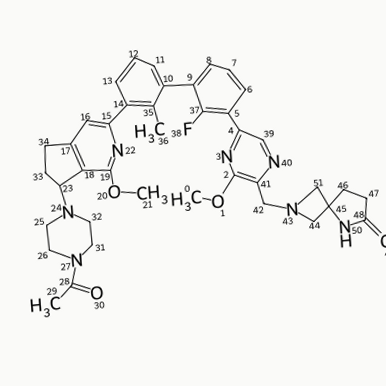 COc1nc(-c2cccc(-c3cccc(-c4cc5c(c(OC)n4)C(N4CCN(C(C)=O)CC4)CC5)c3C)c2F)cnc1CN1CC2(CCC(=O)N2)C1